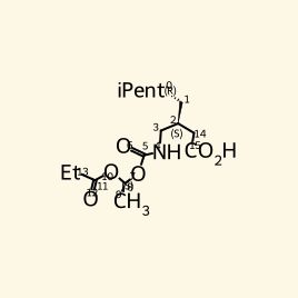 CCC[C@@H](C)C[C@H](CNC(=O)O[C@@H](C)OC(=O)CC)CC(=O)O